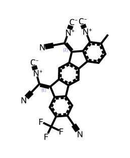 [C-]#[N+]/C(C#N)=C1/c2cc3c(cc2-c2ccc(C)c([N+]#[C-])c21)-c1cc(C#N)c(C(F)(F)F)cc1/C3=C(\C#N)[N+]#[C-]